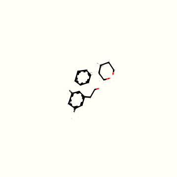 O=C[C@H]1CCO[C@H](OCCc2cc(C(F)(F)F)cc(C(F)(F)F)c2)[C@@H]1c1ccccc1